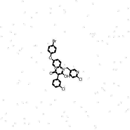 O=c1c(-c2cccc(Cl)c2)c(O)[n+](Cc2ccc(Cl)nc2)c2ccc(Oc3ccc(Br)cc3)cn12